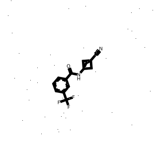 N#CC12CC(NC(=O)c3cccc(C(F)(F)F)c3)(C1)C2